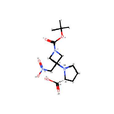 CC(C)(C)OC(=O)N1CC(C[N+](=O)[O-])(N2CCC[C@@H]2C(=O)O)C1